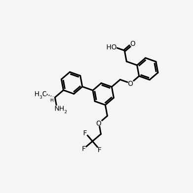 C[C@@H](N)c1cccc(-c2cc(COCC(F)(F)F)cc(COc3ccccc3CC(=O)O)c2)c1